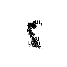 COC(=O)N[C@H](C(=O)N1CCC[C@H]1c1ncc(-c2ccc3cc(-c4ccc(-c5cnc([C@@H]6CCCN6C(=O)[C@H](NC(=O)OC)c6ccccc6)[nH]5)nn4)ccc3c2)[nH]1)C(C)C